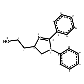 OCCC1CN(c2ccccc2)C(c2ccccc2)=N1